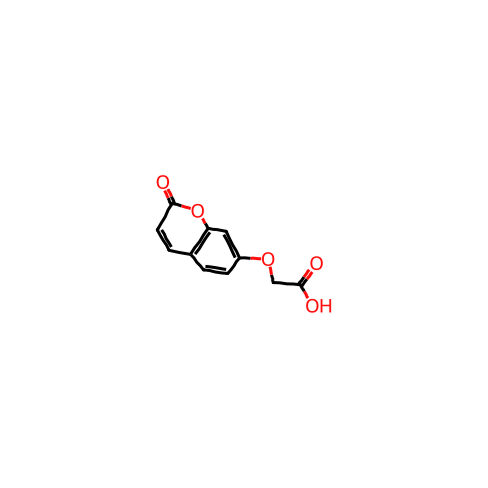 O=C(O)COc1ccc2ccc(=O)oc2c1